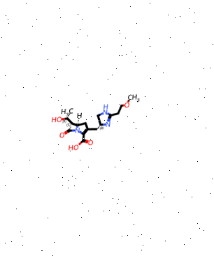 COCCC1=N[C@H](CC2=C(C(=O)O)N3C(=O)[C@H]([C@@H](C)O)[C@H]3C2)CN1